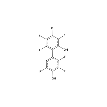 Oc1c(F)cc(-c2c(O)c(F)c(F)c(F)c2F)c(F)c1F